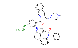 CN1CCN(C[C@@H]2Cc3ccccc3CN2C(=O)c2ccc(Cl)cc2-n2cc(C(=O)N(c3ccccc3)c3ccccc3)c3ccccc32)CC1.Cl.Cl